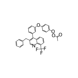 CC(=O)OOc1ccc(Oc2cccc(-c3c(Cc4ccccc4)cnc4c(C(F)(F)F)cccc34)c2)cc1